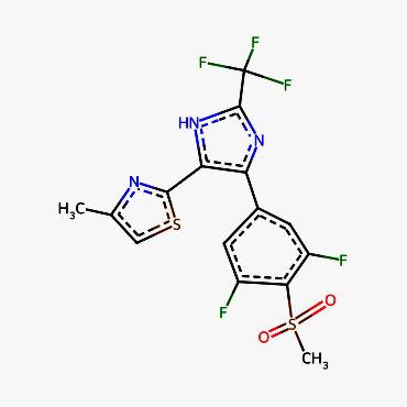 Cc1csc(-c2[nH]c(C(F)(F)F)nc2-c2cc(F)c(S(C)(=O)=O)c(F)c2)n1